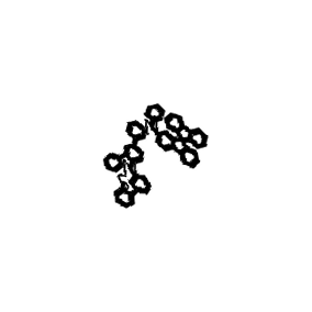 c1ccc(N(c2cccc(-c3ccc4c(c3)c3ccccc3n4-c3cccc4c3sc3ccccc34)c2)c2ccc3c(c2)C2(c4ccccc4-c4ccccc42)c2ccccc2-3)cc1